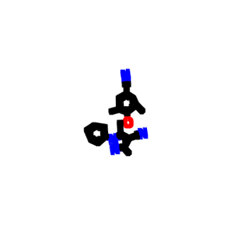 Cc1cc(C#N)cc(C)c1OCc1c(C#N)c(C)nn1-c1ccccc1